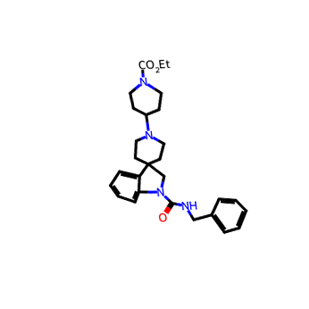 CCOC(=O)N1CCC(N2CCC3(CC2)CN(C(=O)NCc2ccccc2)c2ccccc23)CC1